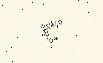 O=C(Cc1cccc(O)c1)Nc1nc(C(F)(F)F)c(C(=O)NC(CNC(=O)c2cccs2)C(=O)O)s1